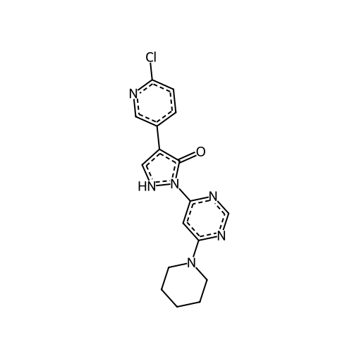 O=c1c(-c2ccc(Cl)nc2)c[nH]n1-c1cc(N2CCCCC2)ncn1